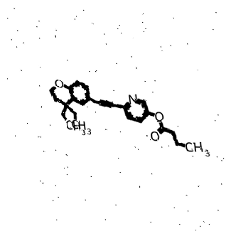 CCCC(=O)Oc1ccc(C#Cc2ccc3c(c2)C(CC)(CC)CCO3)nc1